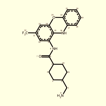 NCC1CCC(C(=O)Nc2cc(C(F)(F)F)cc3c2Nc2ccccc2O3)CC1